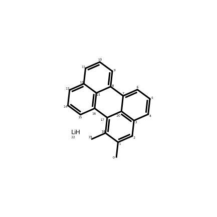 Cc1cc2cccc3c4cccc5cccc(c(c1C)c23)c54.[LiH]